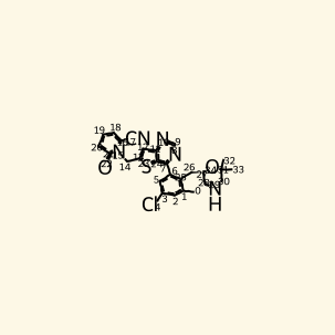 Cc1cc(Cl)cc(-c2ncnc3cc(Cn4c(C#N)cccc4=O)sc23)c1C[C@@H]1CNCC(C)(C)O1